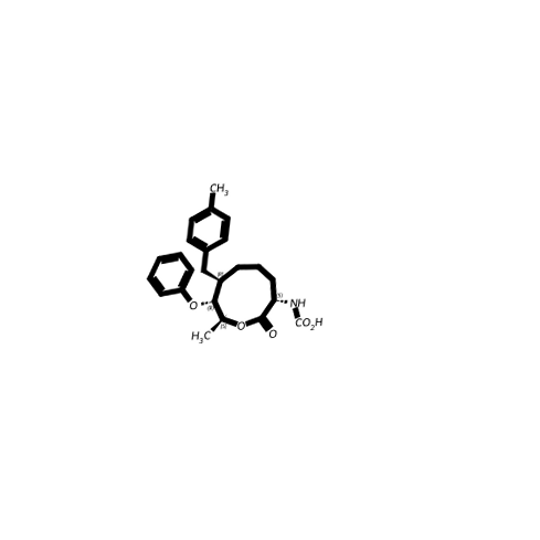 Cc1ccc(C[C@H]2CCC[C@H](NC(=O)O)C(=O)O[C@@H](C)[C@@H]2Oc2ccccc2)cc1